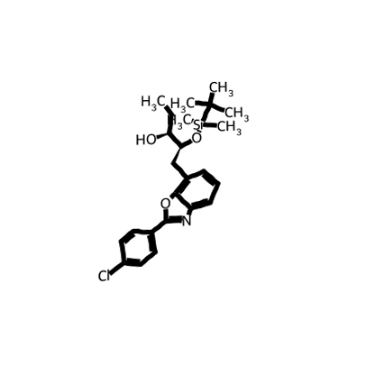 CC[C@H](O)[C@H](Cc1cccc2nc(-c3ccc(Cl)cc3)oc12)O[Si](C)(C)C(C)(C)C